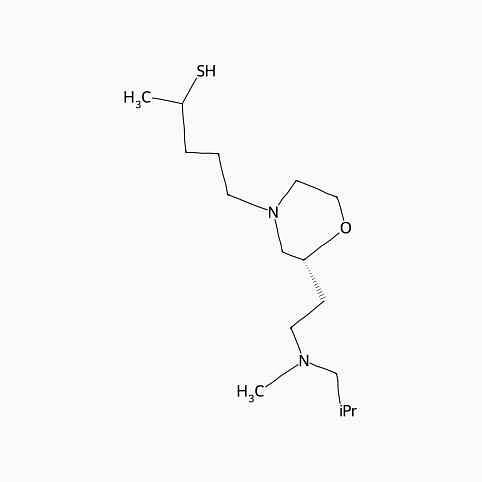 CC(C)CN(C)CC[C@@H]1CN(CCCC(C)S)CCO1